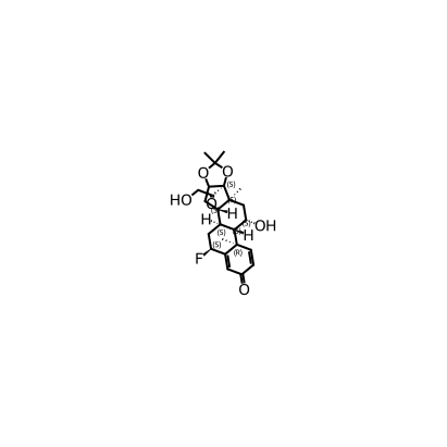 CC1(C)OC2C[C@H]3[C@@H]4C[C@H](F)C5=CC(=O)C=C[C@]5(C)[C@H]4[C@@H](O)C[C@]3(C)[C@]2(C(=O)CO)O1